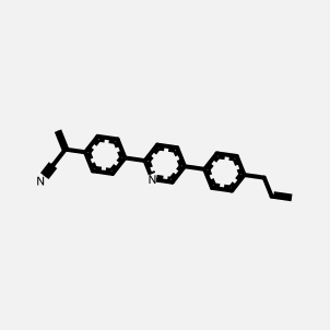 C=CCc1ccc(-c2ccc(-c3ccc(C(=C)C#N)cc3)nc2)cc1